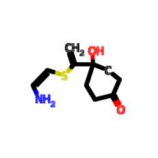 C=C(S/C=C\N)C1(O)CCC(=O)CC1